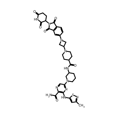 Cc1cc(Nc2nc(N3CCCC(NC(=O)C4CCN(C5CN(c6ccc7c(c6)C(=O)N(C6CCC(=O)NC6=O)C7=O)C5)CC4)C3)cnc2C(N)=O)sn1